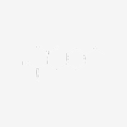 COc1ccc(CC(C(O)=S)[N+](=O)[O-])cc1